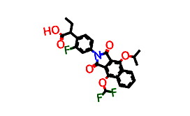 CCC(C(=O)O)c1ccc(N2C(=O)c3c(c(OC(F)F)c4ccccc4c3OC(C)C)C2=O)cc1F